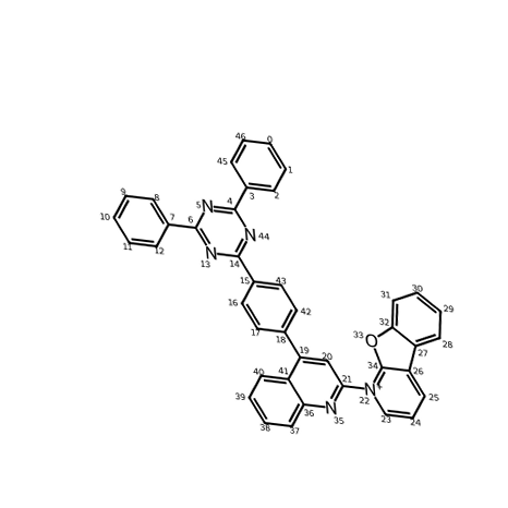 c1ccc(-c2nc(-c3ccccc3)nc(-c3ccc(-c4cc(-[n+]5cccc6c7ccccc7oc65)nc5ccccc45)cc3)n2)cc1